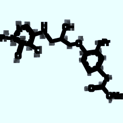 CCCc1cc(SC(=O)OC)ccc1OCC(O)CNc1cnn(C(C)C)c(=O)c1Cl